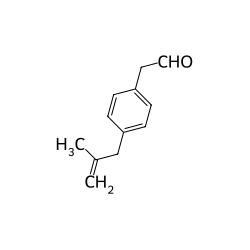 C=C(C)Cc1ccc(CC=O)cc1